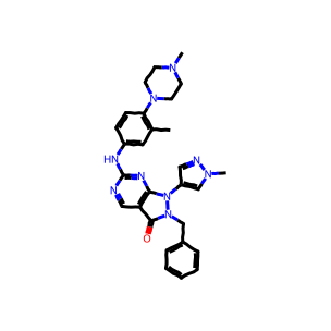 Cc1cc(Nc2ncc3c(=O)n(Cc4ccccc4)n(-c4cnn(C)c4)c3n2)ccc1N1CCN(C)CC1